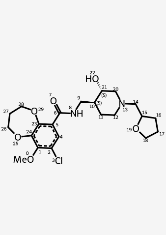 COc1c(Cl)cc(C(=O)NC[C@@H]2CCN(CC3CCCO3)C[C@H]2O)c2c1OCCCO2